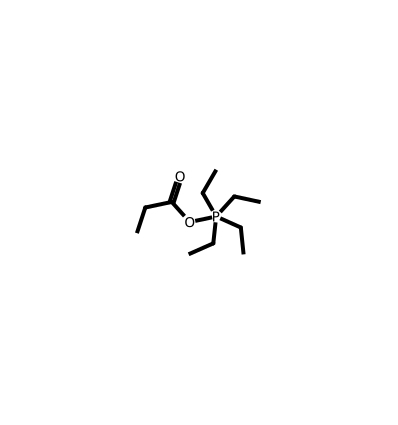 CCC(=O)OP(CC)(CC)(CC)CC